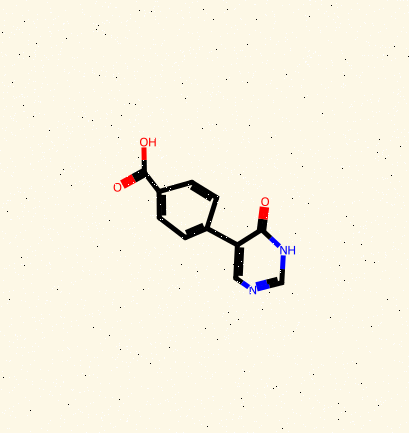 O=C(O)c1ccc(-c2cnc[nH]c2=O)cc1